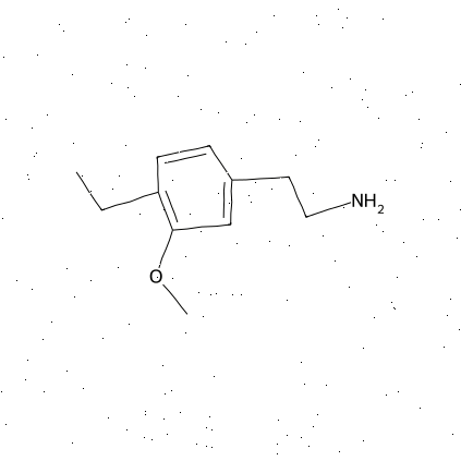 CCc1ccc(CCN)cc1OC